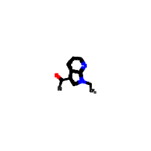 CCC(=O)c1cn(CC(F)(F)F)c2ncccc12